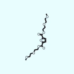 COCCOCCOC(=O)c1ccc(C(=O)OCCOCCOC)o1